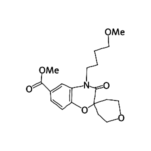 COCCCCN1C(=O)C2(CCOCC2)Oc2ccc(C(=O)OC)cc21